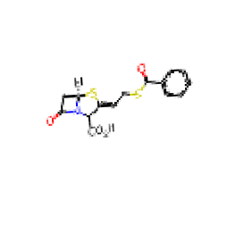 O=C(SCC=C1S[C@@H]2CC(=O)N2C1C(=O)O)c1ccccc1